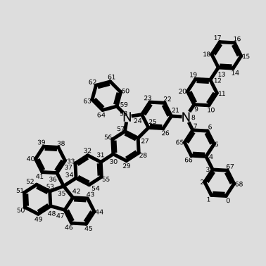 c1ccc(-c2ccc(N(c3ccc(-c4ccccc4)cc3)c3ccc4c(c3)c3ccc(-c5ccc(C6(c7ccccc7)c7ccccc7-c7ccccc76)cc5)cc3n4-c3ccccc3)cc2)cc1